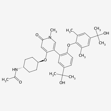 CC(=O)N[C@H]1CC[C@H](Oc2cc(=O)n(C)cc2-c2cc(C(C)(C)O)ccc2Oc2c(C)cc(C(C)(C)O)cc2C)CC1